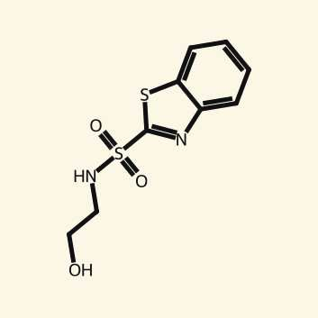 O=S(=O)(NCCO)c1nc2ccccc2s1